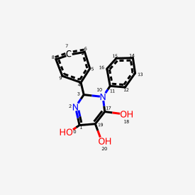 OC1=NC(c2ccccc2)N(c2ccccc2)C(O)=C1O